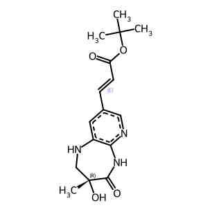 CC(C)(C)OC(=O)/C=C/c1cnc2c(c1)NC[C@@](C)(O)C(=O)N2